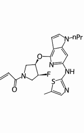 C=CC(=O)N1C[C@H](F)[C@H](Oc2nc(Nc3ncc(C)s3)cc3c2ccn3CCC)C1